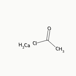 CC(=O)Cl.[CaH2]